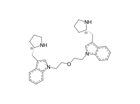 c1ccc2c(c1)c(C[C@@H]1CCCN1)cn2CCOCCn1cc(C[C@@H]2CCCN2)c2ccccc21